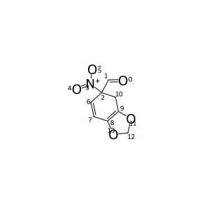 O=CC1([N+](=O)[O-])C=CC2=C(C1)OCO2